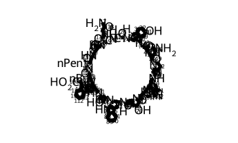 CCCCC[C@H]1C(=O)N[C@@H](CC(C)C)C(=O)N[C@H](C(=O)NCC(N)=O)CNCC(=O)N[C@@H](Cc2ccc(O)cc2)C(=O)N(C)[C@@H](C)C(=O)NC(CC(N)=O)C(=O)N2CCC[C@H]2C(=O)N[C@@H](Cc2cnc[nH]2)C(=O)N[C@@H](CC(C)C)C(=O)N2C[C@H](O)C[C@H]2C(=O)N[C@@H](Cc2c[nH]c3ccccc23)C(=O)N[C@@H](CO)C(=O)N[C@@H](Cc2cn(CC(=O)O)c3ccccc23)C(=O)N(C)[C@@H](CCCC)C(=O)N1C